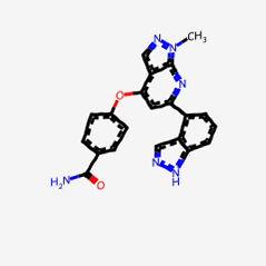 Cn1ncc2c(Oc3ccc(C(N)=O)cc3)cc(-c3cccc4[nH]ncc34)nc21